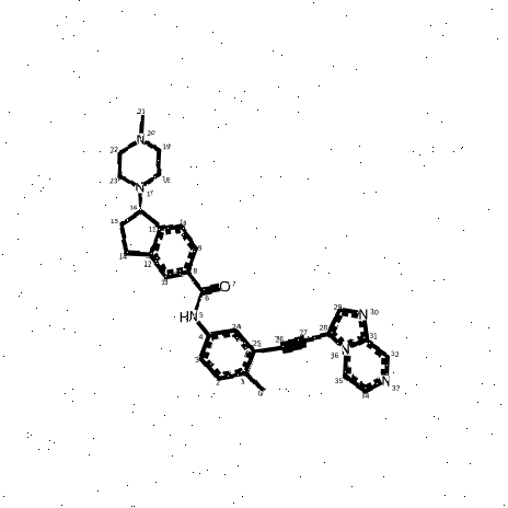 Cc1ccc(NC(=O)c2ccc3c(c2)CC[C@H]3N2CCN(C)CC2)cc1C#Cc1cnc2cnccn12